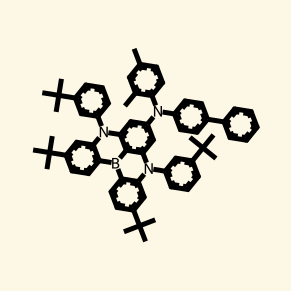 Cc1ccc(N(c2ccc(-c3ccccc3)cc2)c2cc3c4c(c2)N(c2cccc(C(C)(C)C)c2)c2cc(C(C)(C)C)ccc2B4c2ccc(C(C)(C)C)cc2N3c2cccc(C(C)(C)C)c2)c(C)c1